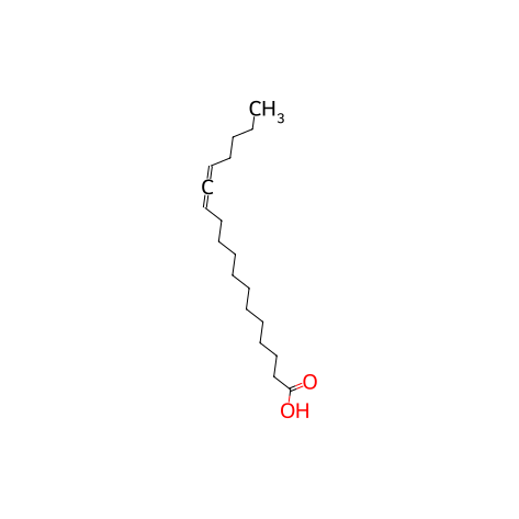 CCCCC=C=CCCCCCCCCCCC(=O)O